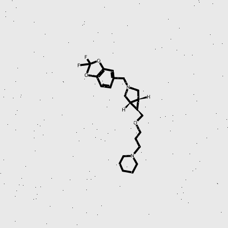 FC1(F)Oc2ccc(CN3C[C@@H]4[C@@H](COCCCN5CCCCC5)[C@@H]4C3)cc2O1